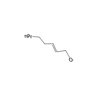 CCCCC/C=C/C[O]